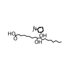 CCCCCCCCC(O)C(O)CCCCCCCC(=O)O.CN(C)c1ccccc1